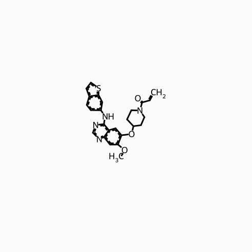 C=CC(=O)N1CCC(Oc2cc3c(Nc4ccc5ccsc5c4)ncnc3cc2OC)CC1